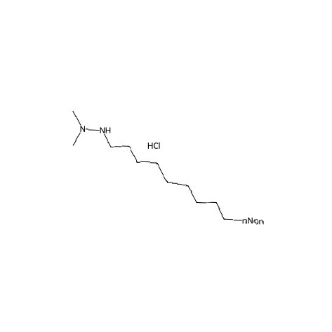 CCCCCCCCCCCCCCCCCCNN(C)C.Cl